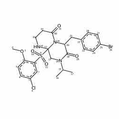 COc1ccc(Cl)cc1S(=O)(=O)C12CN(C(C)C)C(=O)C(Cc3ccc(Br)cc3)N1C(=O)CCN2